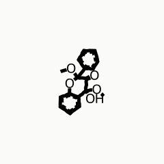 COC1(O)C(=O)C(OC)(c2ccccc2)Oc2ccccc21